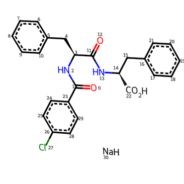 O=C(N[C@@H](Cc1ccccc1)C(=O)N[C@@H](Cc1ccccc1)C(=O)O)c1ccc(Cl)cc1.[NaH]